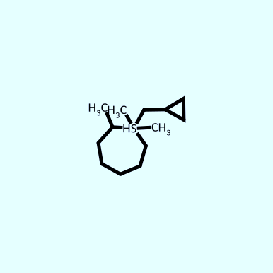 CC1CCCCC[SH]1(C)(C)CC1CC1